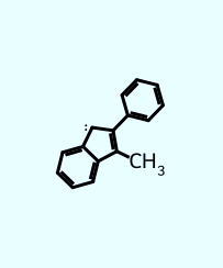 CC1=C(c2ccccc2)[C]c2ccccc21